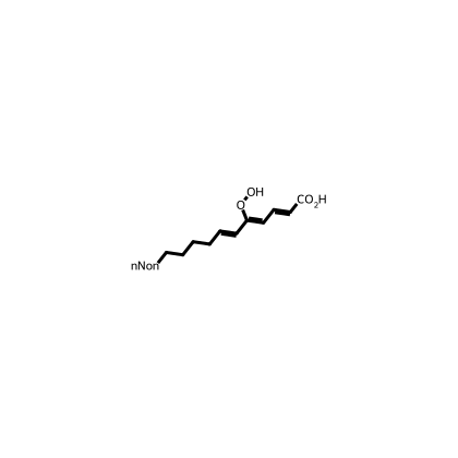 CCCCCCCCCCCCCC=CC(=CC=CC(=O)O)OO